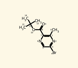 Cc1nc(Br)cnc1C(=O)OC(C)(C)C